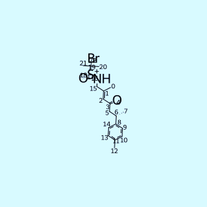 C/C(=C\C(=O)C[C@H](C)c1ccc(C)cc1)CN[S@+]([O-])C(C)(C)Br